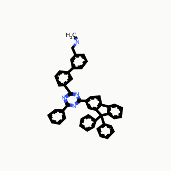 C=NCc1cccc(-c2cccc(-c3nc(-c4ccccc4)nc(-c4ccc5c(c4)C(c4ccccc4)(c4ccccc4)c4ccccc4-5)n3)c2)c1